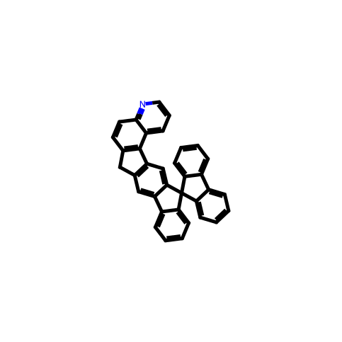 c1ccc2c(c1)-c1ccccc1C21c2ccccc2-c2cc3c(cc21)-c1c(ccc2ncccc12)C3